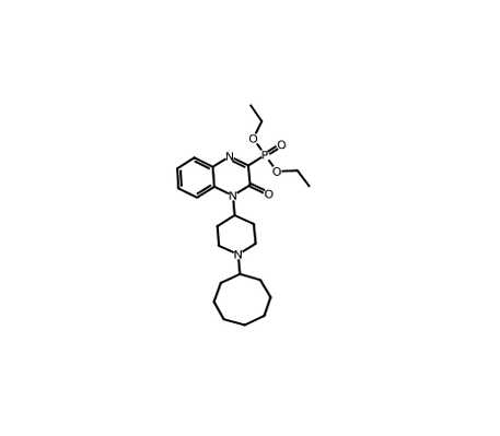 CCOP(=O)(OCC)c1nc2ccccc2n(C2CCN(C3CCCCCCC3)CC2)c1=O